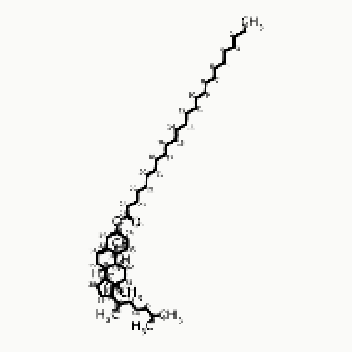 CCCCCCCCCCCCCCCCCCCCCCCCCC(=O)O[C@H]1CC[C@@]2(C)C(=CC[C@H]3[C@@H]4CC[C@H]([C@H](C)CCCC(C)C)[C@@]4(C)CC[C@@H]32)C1